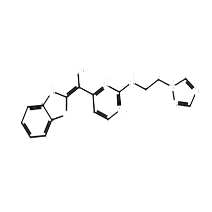 N#C/C(=C1\Nc2ccccc2O1)c1ccnc(NCCn2cncn2)n1